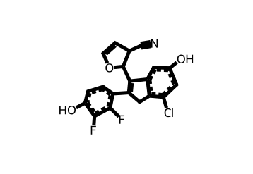 N#CC1C=COC1C1=C(c2ccc(O)c(F)c2F)Cc2c(Cl)cc(O)cc21